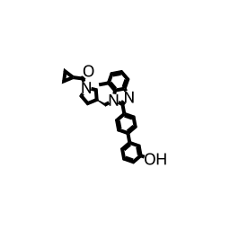 Cc1cccc2nc(-c3ccc(-c4cccc(O)c4)cc3)n(C[C@H]3CCN(C(=O)C4CC4)C3)c12